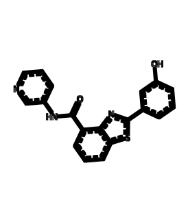 O=C(Nc1cccnc1)c1cccc2sc(-c3cccc(O)c3)nc12